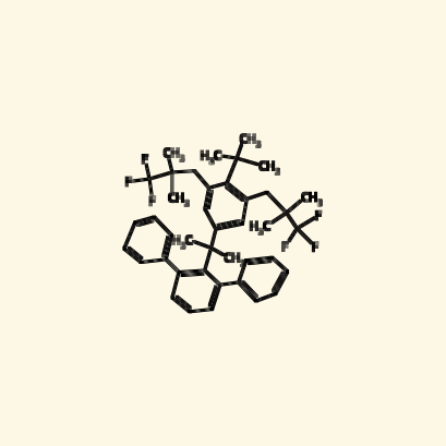 CC(C)(C)c1c(CC(C)(C)C(F)(F)F)cc(C(C)(C)c2c(-c3ccccc3)cccc2-c2ccccc2)cc1CC(C)(C)C(F)(F)F